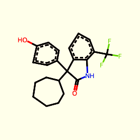 O=C1Nc2c(C(F)(F)F)cccc2C1(c1ccc(O)cc1)C1CCCCCC1